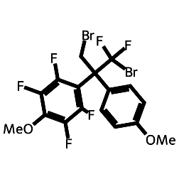 COc1ccc(C(CBr)(c2c(F)c(F)c(OC)c(F)c2F)C(F)(F)Br)cc1